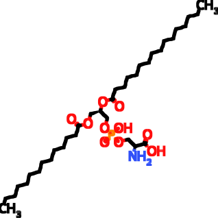 CCCCCCCCCCCCCCCC(=O)O[C@H](COC(=O)CCCCCCCCCCCCC)COP(=O)(O)OC[C@H](N)C(=O)O